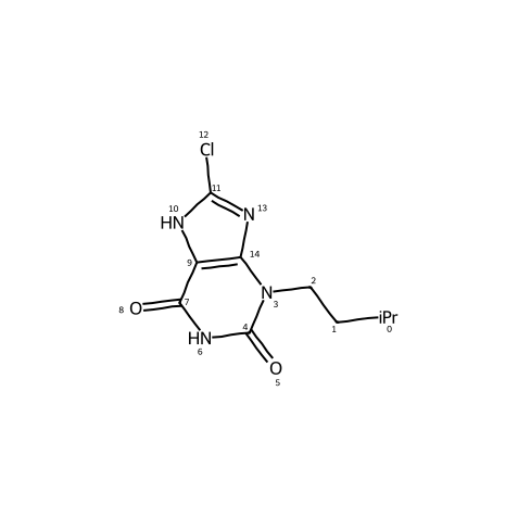 CC(C)CCn1c(=O)[nH]c(=O)c2[nH]c(Cl)nc21